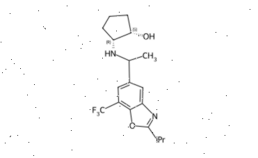 CC(C)c1nc2cc(C(C)N[C@@H]3CCC[C@@H]3O)cc(C(F)(F)F)c2o1